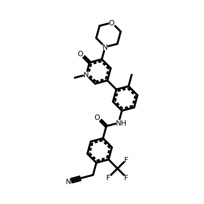 Cc1ccc(NC(=O)c2ccc(CC#N)c(C(F)(F)F)c2)cc1-c1cc(N2CCOCC2)c(=O)n(C)c1